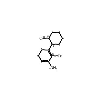 NC1=CCCC(C2CCCCC2Cl)=C1F